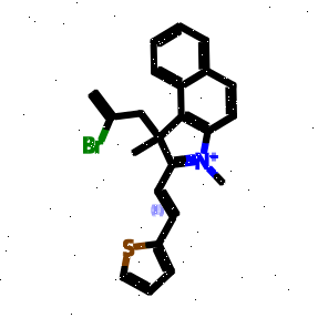 C=C(Br)CC1(C)C(/C=C/c2cccs2)=[N+](C)c2ccc3ccccc3c21